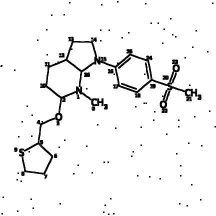 CN1C(OCC2CCCS2)CCC2CCN(c3ccc(S(C)(=O)=O)cc3)C21